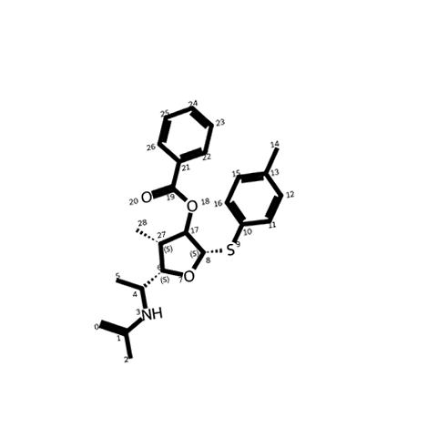 C=C(C)NC(C)[C@H]1O[C@@H](Sc2ccc(C)cc2)C(OC(=O)c2ccccc2)[C@H]1C